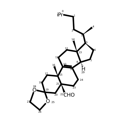 CC(C)CC[C@@H](C)[C@H]1CC[C@H]2C3=C(CC[C@]12C)[C@@]1(C)CCC2(C[C@@]1(C=O)CC3)OCCO2